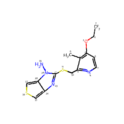 Cc1c(OCC(F)(F)F)ccnc1CSc1nc2cscc2n1N